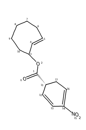 O=C(OC1/C=C/CCCCC1)[C@H]1C=CC([N+](=O)[O-])=CC1